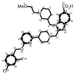 COCCN1CCCC(Cn2c(CN3CCC(c4cccc(OCc5ccc(Cl)cc5F)n4)CC3)nc3ccc(C(=O)O)cc32)C1